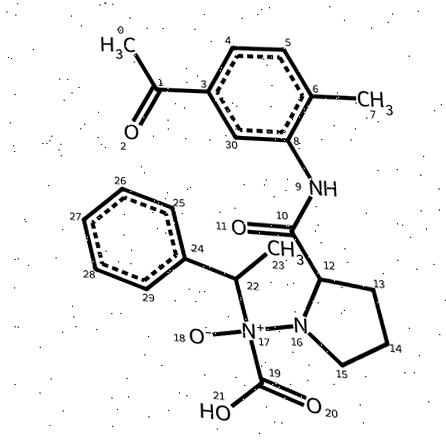 CC(=O)c1ccc(C)c(NC(=O)C2CCCN2[N+]([O-])(C(=O)O)C(C)c2ccccc2)c1